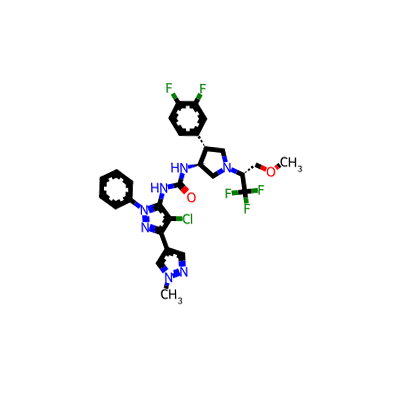 COC[C@@H](N1C[C@@H](NC(=O)Nc2c(Cl)c(-c3cnn(C)c3)nn2-c2ccccc2)[C@H](c2ccc(F)c(F)c2)C1)C(F)(F)F